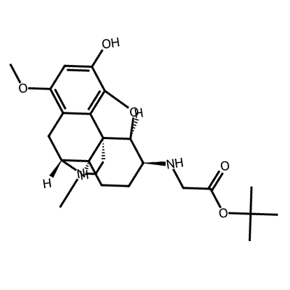 COc1cc(O)c2c3c1C[C@@H]1[C@@H]4CC[C@H](NCC(=O)OC(C)(C)C)[C@H](O2)[C@]34CCN1C